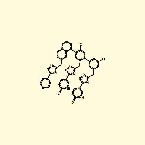 O=c1ccc(-c2noc(Cc3cc(Cl)cc(-c4cc(Cl)c(-c5cccc6ccc(Cc7nc(-c8ccncc8)no7)cc56)cc4Cc4nc(-c5ccc(=O)[nH]c5)no4)c3)n2)c[nH]1